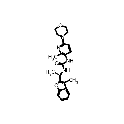 Cc1nc(N2CCOCC2)ccc1NC(=O)N[C@H](C)c1oc2ccccc2c1C